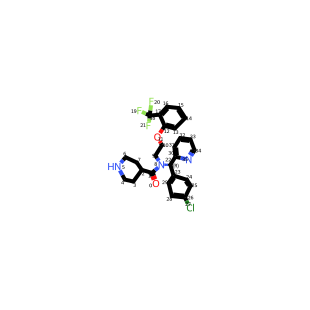 O=C(C1CCNCC1)N(CCOc1ccccc1C(F)(F)F)[C@H](c1ccc(Cl)cc1)c1ccccn1